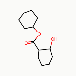 O=C(OC1CCCCC1)C1CCCCC1O